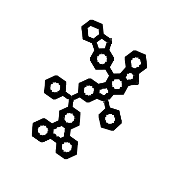 C1=CC2Sc3cc(-c4c5c(cc6c4c4ccc(N(c7ccccc7)c7ccc8c9ccccc9c9ccccc9c8c7)cc4n6-c4ccccc4)oc4ccccc45)ccc3C2C=C1